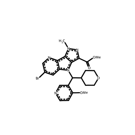 COC(=O)c1nn(C)c2c3ncc(Br)cc3n(C(c3cnccc3OC)C3CCOCC3)c12